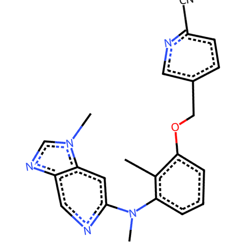 Cc1c(OCc2ccc(C#N)nc2)cccc1N(C)c1cc2c(cn1)ncn2C